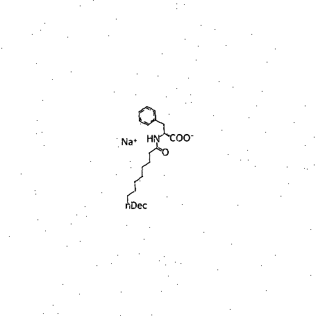 CCCCCCCCCCCCCCCCCC(=O)N[C@@H](Cc1ccccc1)C(=O)[O-].[Na+]